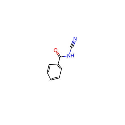 N#CNC(=O)c1cc[c]cc1